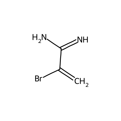 C=C(Br)C(=N)N